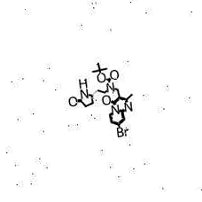 Cc1nc2cc(Br)ccn2c(=O)c1CN(CC[C@@H]1CCC(=O)N1)C(=O)OC(C)(C)C